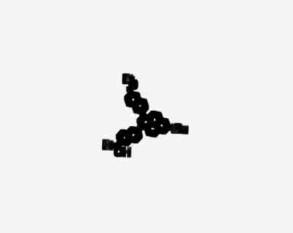 CCOCc1ccc2cc(-c3cc(-c4ccc5cc(C(O)CC)ccc5c4)c4ccc5cc(C(C)(C)C)cc6ccc3c4c65)ccc2c1